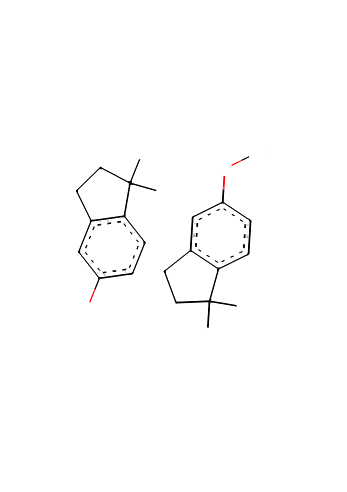 CC1(C)CCc2cc(O)ccc21.COc1ccc2c(c1)CCC2(C)C